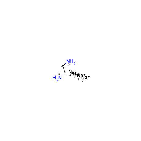 NCCN.[Na+].[Na+].[Na+].[Na+]